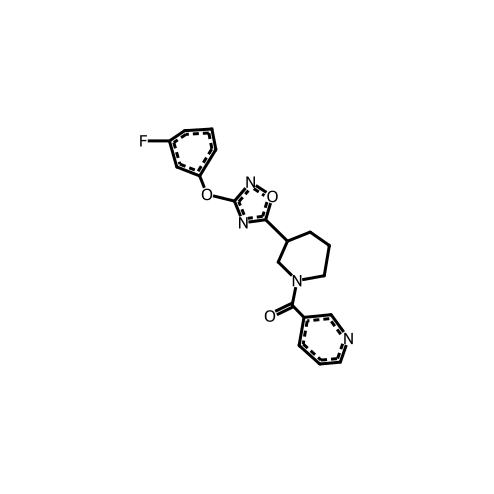 O=C(c1cccnc1)N1CCCC(c2nc(Oc3cccc(F)c3)no2)C1